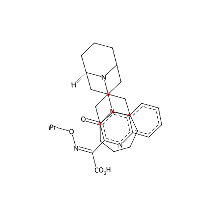 CC(C)O/N=C(/C(=O)O)c1nc2ccccc2n(C2CC3CCC[C@H](C2)N3C2CC3CCCCC(C3)C2)c1=O